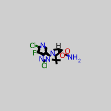 CC(C)(C)C1N(c2nc(Cl)nc3c(F)c(Cl)ncc23)C[C@@H]2C[C@]12OC(N)=O